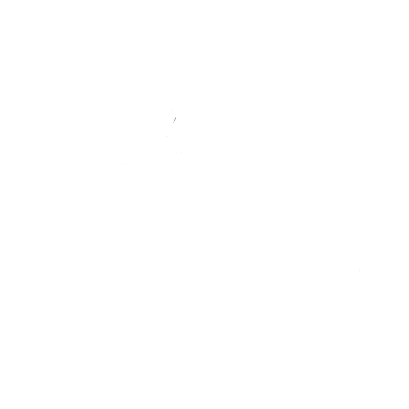 Cc1ccc(CSC[C@H](NC(=O)C(CS)Cc2ccc(-c3ccccc3)cc2)C(=O)O)cc1